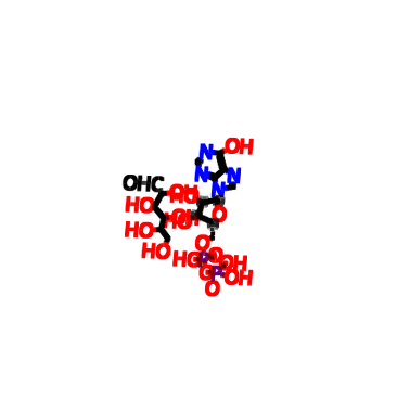 O=CC(O)C(O)C(O)C(O)CO.O=P(O)(O)OP(=O)(O)OC[C@H]1O[C@@H](n2cnc3c(O)ncnc32)[C@H](O)[C@@H]1O